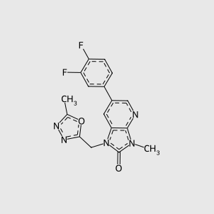 Cc1nnc(Cn2c(=O)n(C)c3ncc(-c4ccc(F)c(F)c4)cc32)o1